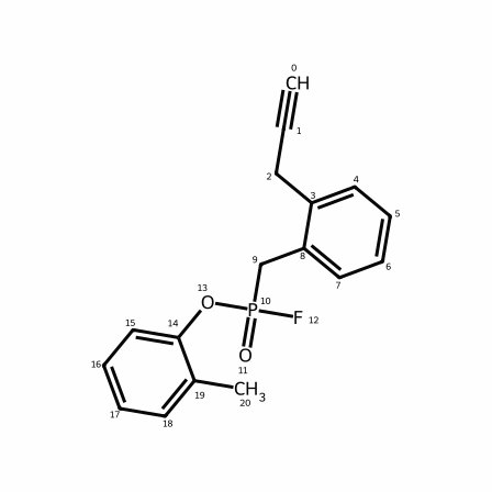 C#CCc1ccccc1CP(=O)(F)Oc1ccccc1C